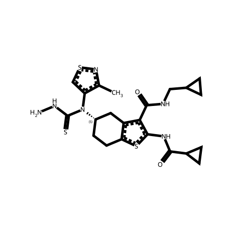 Cc1nscc1N(C(=S)NN)[C@H]1CCc2sc(NC(=O)C3CC3)c(C(=O)NCC3CC3)c2C1